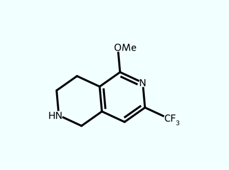 COc1nc(C(F)(F)F)cc2c1CCNC2